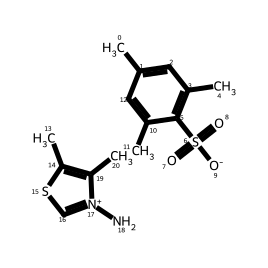 Cc1cc(C)c(S(=O)(=O)[O-])c(C)c1.Cc1sc[n+](N)c1C